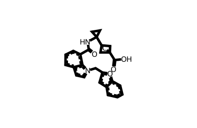 O=C(NC1(C23CC(C(=O)O)(C2)C3)CC1)c1cccc2ccn(Cc3cc4ccccc4o3)c12